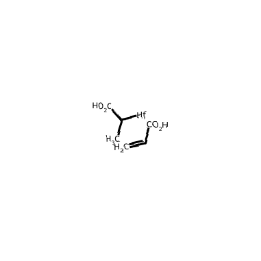 C=CC(=O)O.C[CH]([Hf])C(=O)O